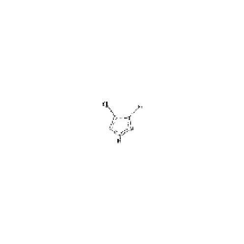 Clc1c[nH]nc1Br